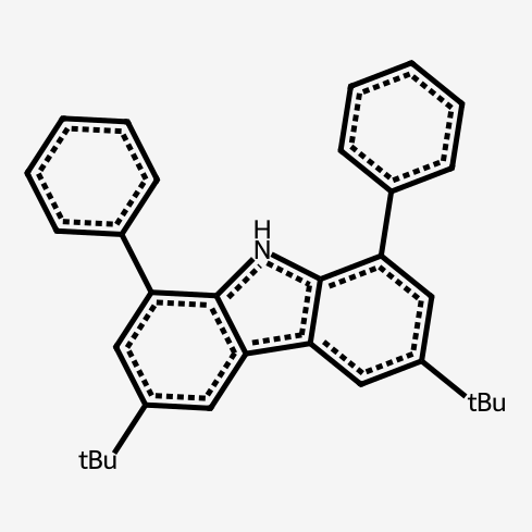 CC(C)(C)c1cc(-c2ccccc2)c2[nH]c3c(-c4ccccc4)cc(C(C)(C)C)cc3c2c1